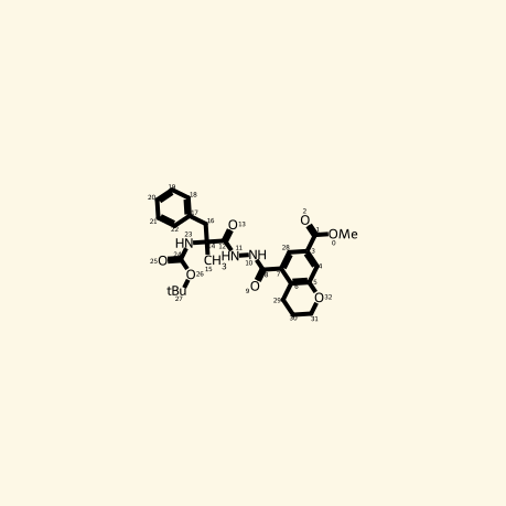 COC(=O)c1cc2c(c(C(=O)NNC(=O)C(C)(Cc3ccccc3)NC(=O)OC(C)(C)C)c1)CCCO2